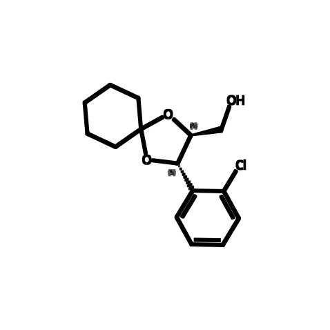 OC[C@@H]1OC2(CCCCC2)O[C@H]1c1ccccc1Cl